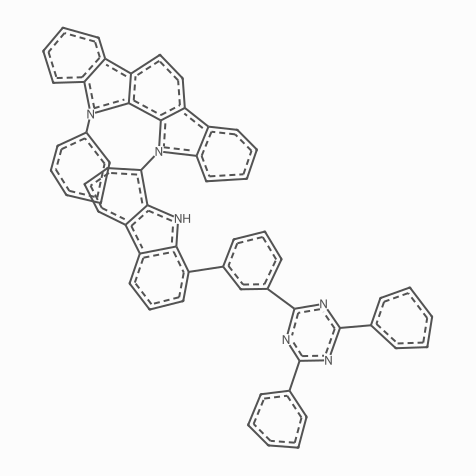 c1ccc(-c2nc(-c3ccccc3)nc(-c3cccc(-c4cccc5c4[nH]c4c(-n6c7ccccc7c7ccc8c9ccccc9n(-c9ccccc9)c8c76)cccc45)c3)n2)cc1